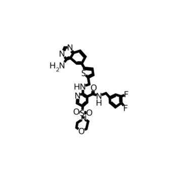 Nc1ncnc2ccc(-c3ccc(CNc4ncc(S(=O)(=O)N5CCOCC5)cc4C(=O)NCc4ccc(F)c(F)c4)s3)cc12